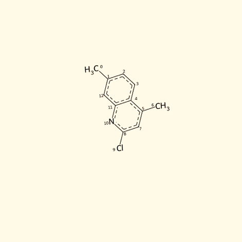 Cc1ccc2c(C)cc(Cl)nc2c1